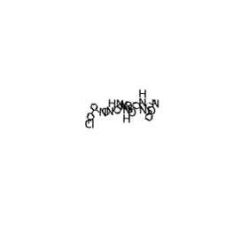 CN(C)CC[C@H](CSc1ccccc1)Nc1ccc(S(=O)(=O)Nc2n[nH]c3cc(N4CCN(Cc5ccccc5-c5ccc(Cl)cc5)CC4)ccc23)cc1N=O